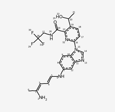 C/C(N)=C/C=C/Nc1ccc2c(c1)ncn2-c1ccc(C(C)O)c(C(=O)NCC(F)(F)F)n1